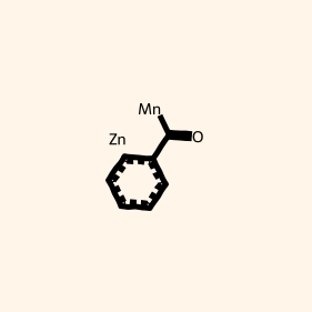 O=[C]([Mn])c1ccccc1.[Zn]